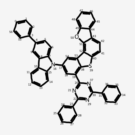 c1ccc(-c2ccc3c(c2)c2ccccc2n3-c2cc(-c3nc(-c4ccccc4)nc(-c4ccccc4)n3)c3sc4ccc5c6ccccc6oc5c4c3c2)cc1